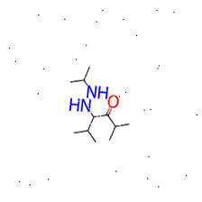 CC(C)NNC(C(=O)C(C)C)C(C)C